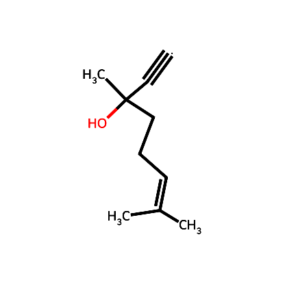 [C]#CC(C)(O)CCC=C(C)C